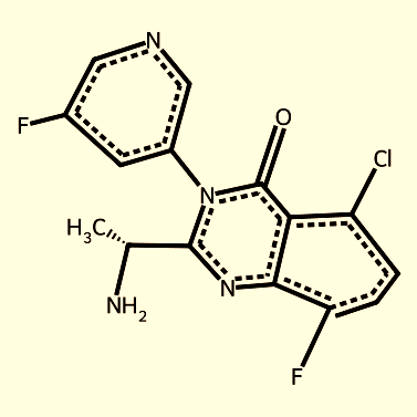 C[C@@H](N)c1nc2c(F)ccc(Cl)c2c(=O)n1-c1cncc(F)c1